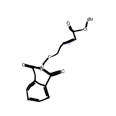 CC(C)(C)OC(=O)/C=C/CON1C(=O)c2ccccc2C1=O